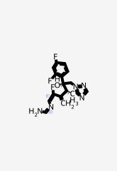 C=C(/C(F)=C\N=C/N)[C@@H](C)[C@](O)(Cn1cncn1)c1ccc(F)cc1F